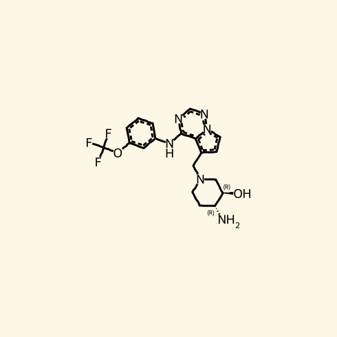 N[C@@H]1CCN(Cc2ccn3ncnc(Nc4cccc(OC(F)(F)F)c4)c23)C[C@H]1O